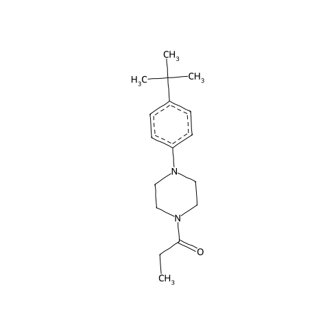 CCC(=O)N1CCN(c2ccc(C(C)(C)C)cc2)CC1